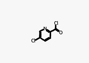 O=C(Cl)c1ccc(Cl)cn1